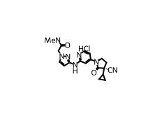 CNC(=O)Cn1ccc(Nc2cc(N3CC[C@@](C#N)(C4CC4)C3=O)ccn2)n1.Cl